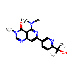 CC(C)N(C)c1nc(-c2ccc(C(C)(C)O)nc2)cc2ncn(C)c(=O)c12